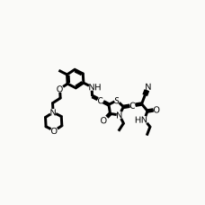 CCNC(=O)C(=C=c1sc(=C=CNc2ccc(C)c(OCCN3CCOCC3)c2)c(=O)n1CC)C#N